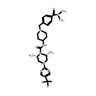 C[C@@H]1CN(c2ncc(C(F)(F)F)cn2)C[C@H](C)N1C(=O)NC1CCN(Cc2ccc(C(=O)N(C)C)cc2)CC1